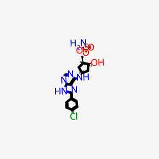 NS(=O)(=O)OC[C@@H]1C[C@@H](Nc2ncnc3[nH]c(-c4ccc(Cl)cc4)nc23)C[C@@H]1O